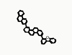 c1ccc2c(c1)ccc1cc(-c3ccc4ccc5c6cc(-c7cccc8c7oc7ccccc78)ccc6ccc5c4c3)ccc12